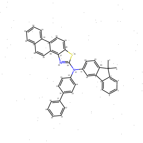 CC1(C)c2ccccc2-c2cc(N(c3ccc(-c4ccccc4)cc3)c3nc4c(ccc5c6ccccc6ccc54)s3)ccc21